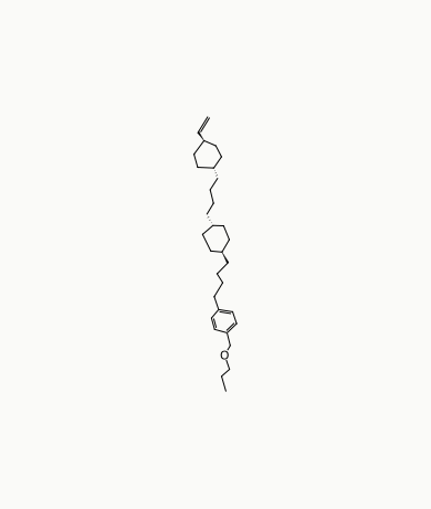 C=C[C@H]1CC[C@H](CCCC[C@H]2CC[C@H](CCCCc3ccc(COCCC)cc3)CC2)CC1